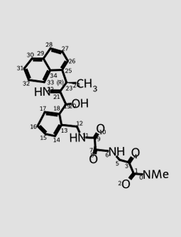 CNC(=O)C(=O)CNC(=O)C(=O)NCc1ccccc1C(O)C(=N)[C@H](C)c1cccc2ccccc12